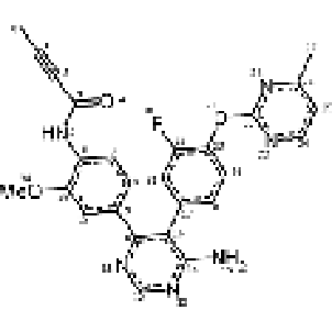 CC#CC(=O)Nc1ccc(-c2ncnc(N)c2-c2ccc(Oc3nccc(C)n3)c(F)c2)cc1OC